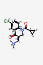 CN(C)/C=C1/CN(C(=O)C2CC2)c2ccc(Cl)cc2C1=O